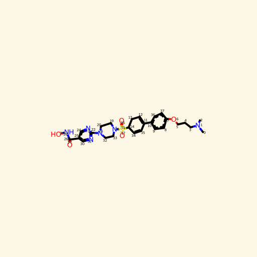 CN(C)CCCOc1ccc(C2=CCC(S(=O)(=O)N3CCN(c4ncc(C(=O)NO)cn4)CC3)C=C2)cc1